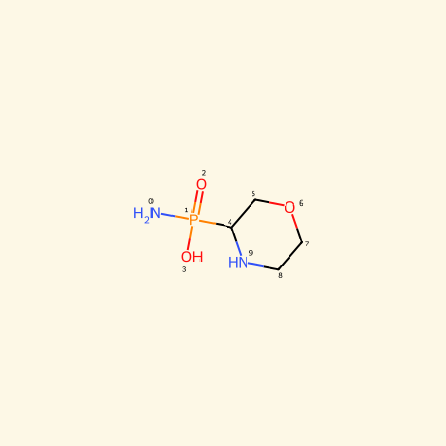 NP(=O)(O)C1COCCN1